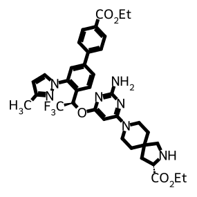 CCOC(=O)c1ccc(-c2ccc([C@@H](Oc3cc(N4CCC5(CC4)CN[C@H](C(=O)OCC)C5)nc(N)n3)C(F)(F)F)c(-n3ccc(C)n3)c2)cc1